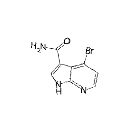 NC(=O)c1c[nH]c2nccc(Br)c12